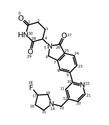 O=C1CCC(N2Cc3cc(-c4cc(CN5CCC(F)C5)ccn4)ccc3C2=O)C(=O)N1